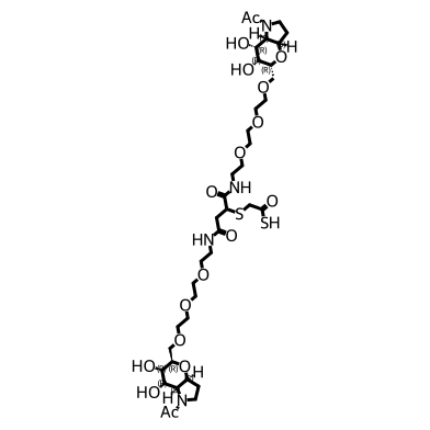 CC(=O)N1CC[C@@H]2O[C@H](COCCOCCOCCNC(=O)CC(SCC(=O)S)C(=O)NCCOCCOCCOC[C@H]3O[C@H]4CCN(C(C)=O)[C@H]4[C@@H](O)[C@H]3O)[C@H](O)[C@H](O)[C@@H]21